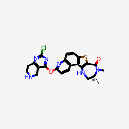 C[C@@H]1CNc2c(sc3ccc4nc(Oc5nc(Cl)nc6c5CNCC6)ccc4c23)C(=O)N1C